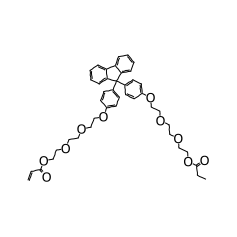 C=CC(=O)OCCOCCOCCOc1ccc(C2(c3ccc(OCCOCCOCCOC(=O)CC)cc3)c3ccccc3-c3ccccc32)cc1